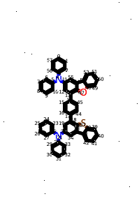 c1ccc(N(c2ccccc2)c2cc(-c3ccc(-c4cc(N(c5ccccc5)c5ccccc5)cc5c4sc4ccccc45)cc3)c3oc4ccccc4c3c2)cc1